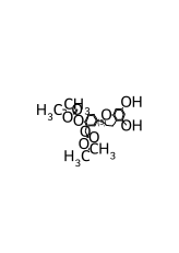 CC(C)OC(=O)Oc1ccc([C@@H]2CCc3c(O)cc(O)cc3O2)cc1OC(=O)OC(C)C